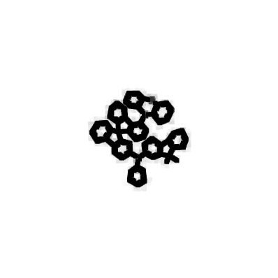 CC1(C)c2ccccc2-c2ccc(N(c3ccccc3)c3ccc4c(c3)C3(c5ccccc5-4)c4ccccc4-c4c(N5c6ccccc6Oc6ccccc65)cccc43)cc21